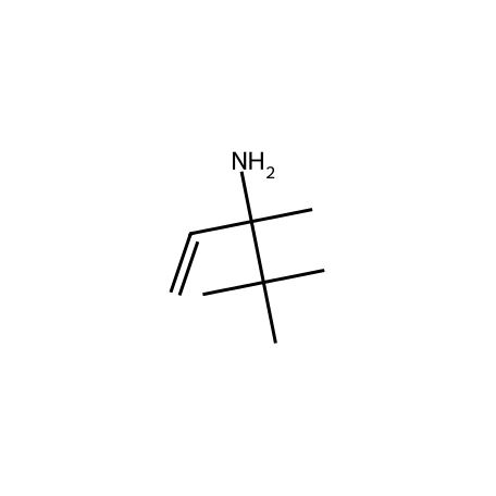 C=CC(C)(N)C(C)(C)C